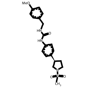 COc1ccc(CNC(=O)Nc2ccc([C@H]3CCN(S(C)(=O)=O)C3)cc2)cc1